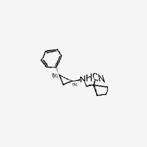 N#CC1(CN[C@H]2C[C@@H]2c2ccccc2)CCC1